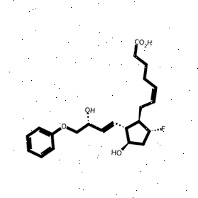 O=C(O)CCC/C=C\C[C@@H]1[C@@H](/C=C/[C@@H](O)COc2ccccc2)[C@H](O)C[C@H]1F